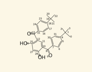 CC(C)(C)c1ccc(C(=O)c2cc(C(=O)c3ccc(C(C)(C)C)cc3)c(O)cc2O)cc1